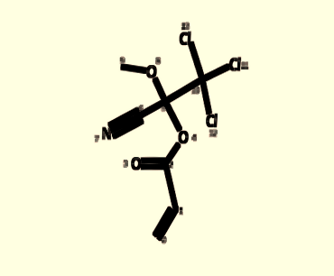 C=CC(=O)OC(C#N)(OC)C(Cl)(Cl)Cl